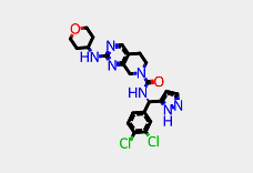 O=C(N[C@@H](c1ccc(Cl)c(Cl)c1)c1ccn[nH]1)N1CCc2cnc(NC3CCOCC3)nc2C1